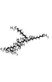 CCCCCCCCC(O)CN(CCCC[C@H]1NC(=O)[C@H](CCCCN(CC(C)O)CC(C)O)NC1=O)CC(O)CCCCCCCC